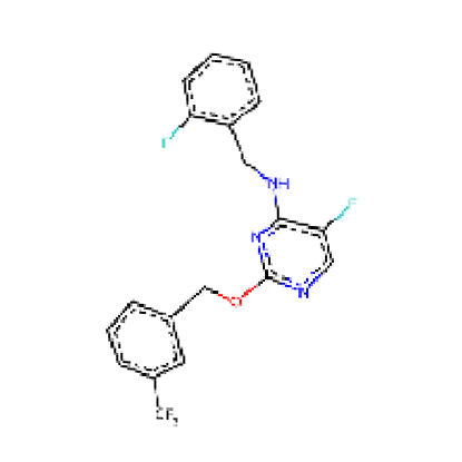 Fc1ccccc1CNc1nc(OCc2cccc(C(F)(F)F)c2)ncc1F